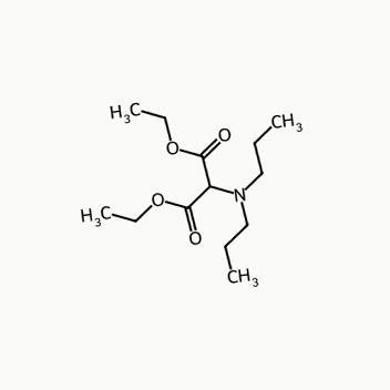 CCCN(CCC)C(C(=O)OCC)C(=O)OCC